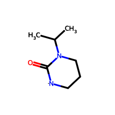 CC(C)N1CCC[N]C1=O